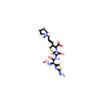 CO/N=C(\C(=O)NC1C(=O)N2C(C(=O)[O-])=C(/C=C/C[N+]3(C)CCCC3)CS[C@@H]12)c1csc(N)n1